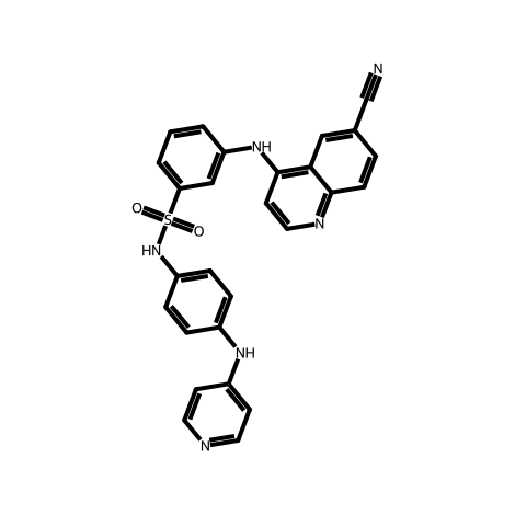 N#Cc1ccc2nccc(Nc3cccc(S(=O)(=O)Nc4ccc(Nc5ccncc5)cc4)c3)c2c1